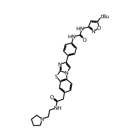 CC(C)(C)c1cc(NC(=O)Nc2ccc(-c3cn4c(n3)sc3cc(CC(=O)NCCN5CCCC5)ccc34)cc2)no1